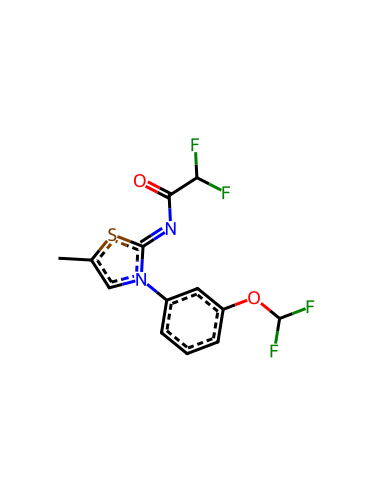 Cc1cn(-c2cccc(OC(F)F)c2)c(=NC(=O)C(F)F)s1